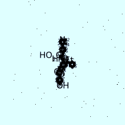 CC[C@@H](c1ccccc1)N1Cc2cc3c(cc2C[C@H]1C(=O)N[C@@H](Cc1ccc(-c2ccnc(C)c2C)cc1)C(=O)O)OC[C@H](c1ccc(O)cc1)O3